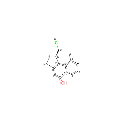 Cc1cccc2c(O)cc3c(c12)[C@H](CCl)CC3